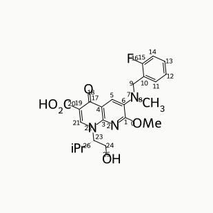 COc1nc2c(cc1N(C)Cc1ccccc1F)c(=O)c(C(=O)O)cn2[C@H](CO)C(C)C